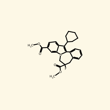 COC(=O)c1ccc2c(C3CCCCC3)c3n(c2c1)CC(F)(C(=O)OC)Cc1ccccc1-3